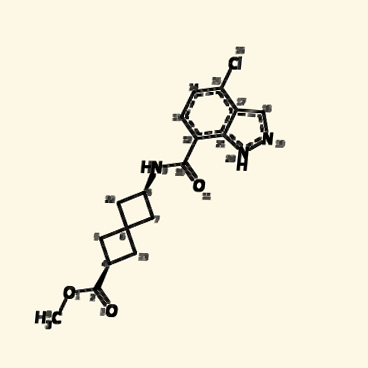 COC(=O)[C@H]1CC2(C[C@H](NC(=O)c3ccc(Cl)c4cn[nH]c34)C2)C1